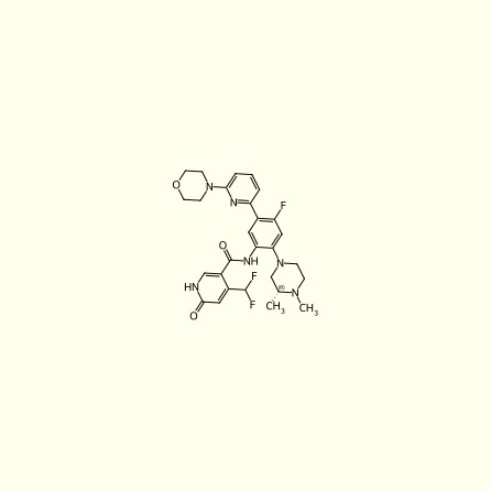 C[C@@H]1CN(c2cc(F)c(-c3cccc(N4CCOCC4)n3)cc2NC(=O)c2c[nH]c(=O)cc2C(F)F)CCN1C